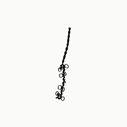 C#CC#CC#CC#CC#CC#CC#CC#CC#CC1CC(=O)N(CCOC(=O)CCSCCC(=O)OCCN2C(=O)CC(C)C2=O)C1=O